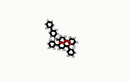 c1ccc(-c2ccc(N(c3ccc(-c4ccccc4)cc3)c3ccccc3-c3ccc4c(-c5ccccc5)cccc4c3)cc2)cc1